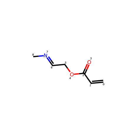 C=CC(=O)OCC=NC